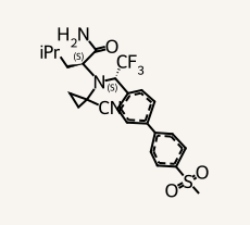 CC(C)C[C@@H](C(N)=O)N([C@@H](c1ccc(-c2ccc(S(C)(=O)=O)cc2)cc1)C(F)(F)F)C1(C#N)CC1